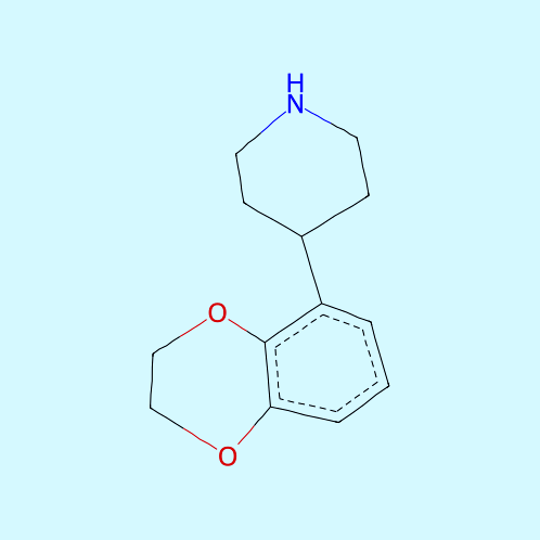 c1cc2c(c(C3CCNCC3)c1)OCCO2